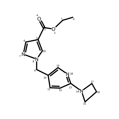 CCOC(=O)c1cnn(Cc2ccc(N3CCC3)nc2)c1